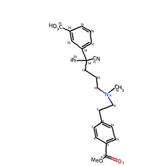 COC(=O)c1ccc(CCN(C)CCCC(C#N)(c2cccc(C(=O)O)c2)C(C)C)cc1